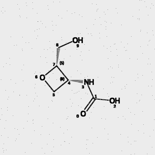 O=C(O)N[C@@H]1CO[C@@H]1CO